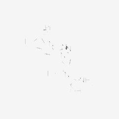 CC(C)Oc1cc(F)cc2ccc(-c3nnc4ccc([C@@H](N5C[C@@H](N)[C@@H](O)C5)C(F)(F)F)cn34)nc12